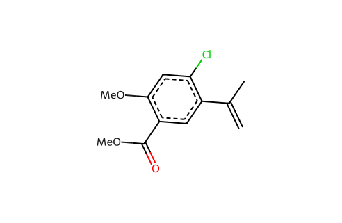 C=C(C)c1cc(C(=O)OC)c(OC)cc1Cl